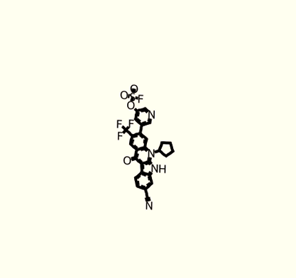 N#Cc1ccc2c(c1)[nH]c1c2c(=O)c2cc(C(F)(F)F)c(-c3cncc(OS(=O)(=O)F)c3)cc2n1C1CCCC1